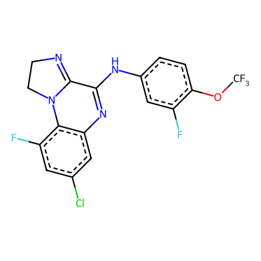 Fc1cc(NC2=Nc3cc(Cl)cc(F)c3N3CCN=C23)ccc1OC(F)(F)F